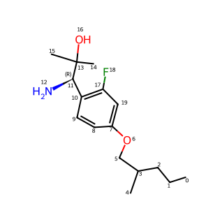 CCCC(C)COc1ccc([C@@H](N)C(C)(C)O)c(F)c1